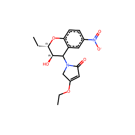 CCOC1=CC(=O)N(C2c3cc([N+](=O)[O-])ccc3O[C@@H](CC)[C@@H]2O)C1